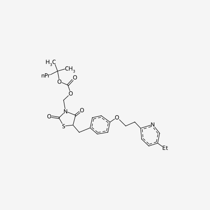 CCCC(C)(C)OC(=O)OCN1C(=O)SC(Cc2ccc(OCCc3ccc(CC)cn3)cc2)C1=O